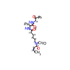 C/C=C\C(=O)N(C=O)CCCCCC(=O)NC(C(=O)NCC(=O)C(C)C)C(C)C